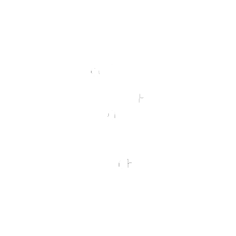 FC(OC=CC(F)(F)F)C1CO1